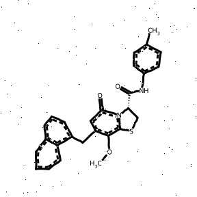 COc1c(Cc2cccc3ccccc23)cc(=O)n2c1SC[C@H]2C(=O)Nc1ccc(C)cc1